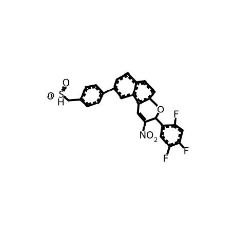 O=[N+]([O-])C1=Cc2c(ccc3ccc(-c4ccc(C[SH](=O)=O)cc4)cc23)OC1c1cc(F)c(F)cc1F